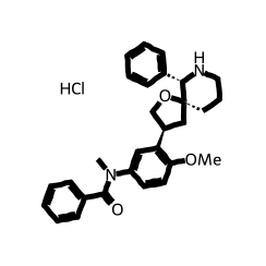 COc1ccc(N(C)C(=O)c2ccccc2)cc1[C@H]1CO[C@]2(CCCN[C@H]2c2ccccc2)C1.Cl